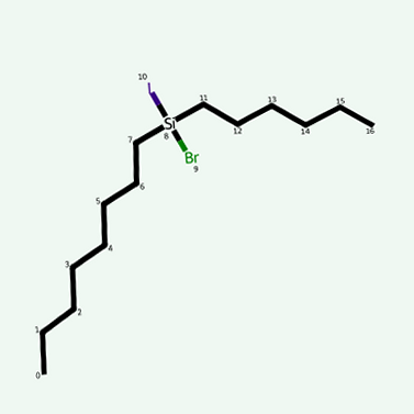 CCCCCCCC[Si](Br)(I)CCCCCC